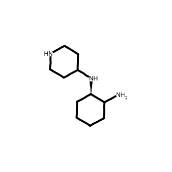 NC1CCCC[C@H]1NC1CCNCC1